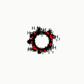 CCCC[C@H]1C(=O)N2CCC[C@@H]2C(=O)N[C@@H](CC(=O)O)C(=O)N[C@@H](C(C)C)C(=O)N(C)[C@@H](Cc2ccccc2)C(=O)N[C@@H](Cc2ccc(O)cc2)C(=O)N2C[C@@H](O)C[C@@H]2C(=O)N[C@@H](Cc2c[nH]c3ccccc23)C(=O)N[C@@H](Cc2ccc(O)cc2)C(=O)N[C@@H](CC(C)C)C(=O)N[C@H](C(=O)NCC(N)=O)CSCC(=O)N[C@@H](Cc2cc(F)c(F)c(F)c2)C(=O)N(C)[C@@H](Cc2ccccc2)C(=O)N1C